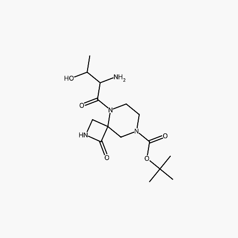 CC(O)C(N)C(=O)N1CCN(C(=O)OC(C)(C)C)CC12CNC2=O